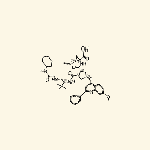 C=C[C@@H]1C[C@]1(NC(=O)[C@@H]1C[C@@H](Oc2cc(-c3ccccc3)nc3cc(OC)ccc23)CN1C(=O)N[C@H](CNCC(=O)N(C)C1CCCCC1)C(C)(C)C)C(=O)O